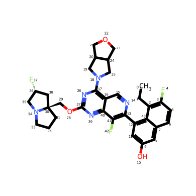 CCc1c(F)ccc2cc(O)cc(-c3ncc4c(N5CC6COCC6C5)nc(OC[C@@]56CCCN5C[C@H](F)C6)nc4c3F)c12